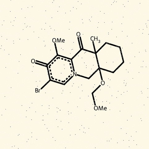 COCOC12CCCCC1(C)C(=O)c1c(OC)c(=O)c(Br)cn1C2